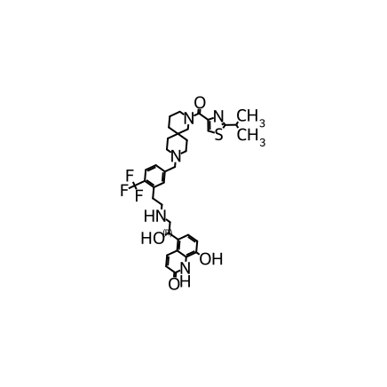 CC(C)c1nc(C(=O)N2CCCC3(CCN(Cc4ccc(C(F)(F)F)c(CCNC[C@H](O)c5ccc(O)c6[nH]c(=O)ccc56)c4)CC3)C2)cs1